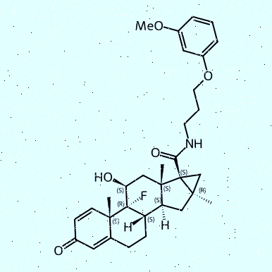 COc1cccc(OCCCNC(=O)[C@@]23C[C@@]2(C)C[C@H]2[C@@H]4CCC5=CC(=O)C=C[C@]5(C)[C@@]4(F)[C@@H](O)C[C@@]23C)c1